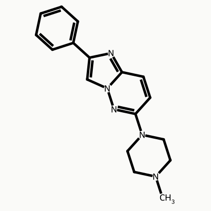 CN1CCN(c2ccc3nc(-c4ccccc4)cn3n2)CC1